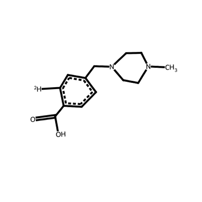 [2H]c1cc(CN2CCN(C)CC2)ccc1C(=O)O